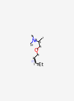 CC/C=C\COCC(C)N(C)C